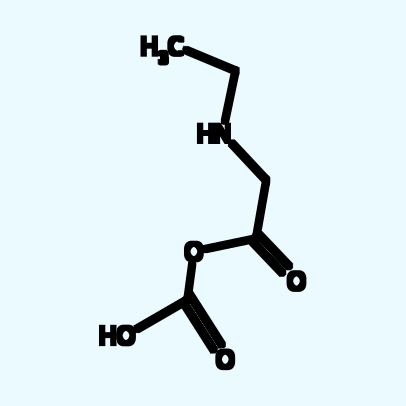 CCNCC(=O)OC(=O)O